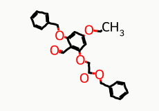 CCOc1cc(OCC(=O)OCc2ccccc2)c(C=O)c(OCc2ccccc2)c1